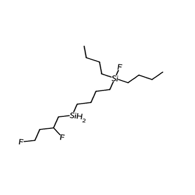 CCCC[Si](F)(CCCC)CCCC[SiH2]CC(F)CCF